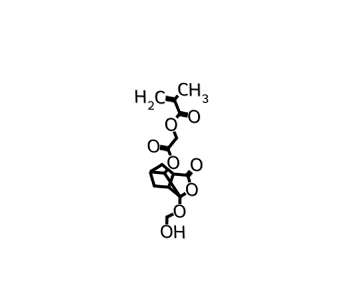 C=C(C)C(=O)OCC(=O)OC1C2CC3C(=O)OC1(OCO)C3C2